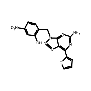 Nc1nc(-c2ccco2)c2nnn(Cc3ccc([N+](=O)[O-])cc3O)c2n1